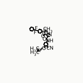 C[C@H]1Cn2ncc(C(=O)Nc3ccc(OCCN(C)C)c(C#N)c3)c2C(=O)N1c1ccc(C(F)(F)c2ccccc2)cc1